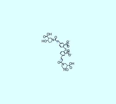 O=C(O)C1CN(C(=O)/C=C/c2ccc(Sc3ccc(/C=C/C(=O)N4CCC(O)C(C(=O)O)C4)cc3[N+](=O)[O-])c([N+](=O)[O-])c2)CCC1O